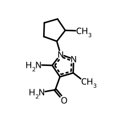 Cc1nn(C2CCCC2C)c(N)c1C(N)=O